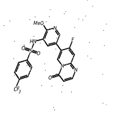 COc1ncc(-c2cn3c(=O)ccnc3cc2F)cc1NS(=O)(=O)c1ccc(C(F)(F)F)cc1